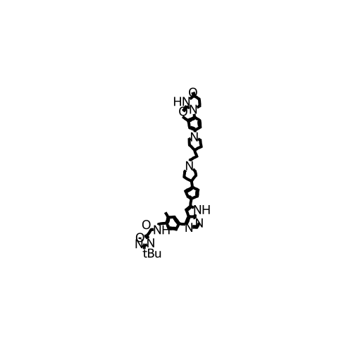 Cc1cc(-c2ncnc3[nH]c(-c4ccc(C5CCN(CCC6CCN(c7ccc(N8CCC(=O)NC8=O)c(C)c7)CC6)CC5)cc4)cc23)ccc1CNC(=O)c1nc(C(C)(C)C)no1